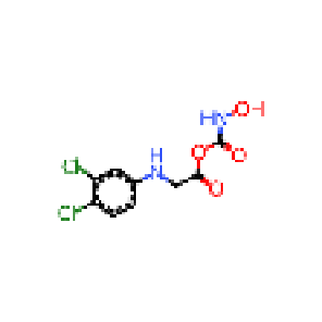 O=C(CNc1ccc(Cl)c(Cl)c1)OC(=O)NO